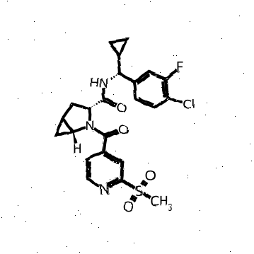 CS(=O)(=O)c1cc(C(=O)N2[C@@H](C(=O)N[C@@H](c3ccc(Cl)c(F)c3)C3CC3)CC3C[C@H]32)ccn1